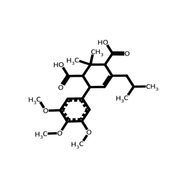 COc1cc(C2C=C(CC(C)C)C(C(=O)O)C(C)(C)C2C(=O)O)cc(OC)c1OC